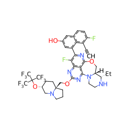 C#Cc1c(F)ccc2cc(O)cc(-c3nc4c5c(nc(OC[C@@]67CCCN6C[C@H](OC(C(F)(F)F)(C(F)(F)F)C(F)(F)F)CC7)nc5c3F)N3CCN[C@@H](CC)[C@H]3CO4)c12